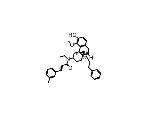 CCN(C(=O)/C=C/c1cccc(C)c1)C1CC[C@@]2(O)[C@H]3Cc4ccc(O)c(OC)c4[C@@]2(CCN3CCc2ccccc2)C1